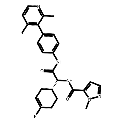 Cc1ccnc(C)c1-c1ccc(NC(=O)C(NC(=O)c2ccnn2C)[C@H]2CC=C(F)CC2)cc1